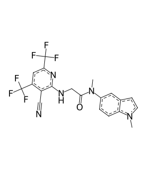 CN(C(=O)CNc1nc(C(F)(F)F)cc(C(F)(F)F)c1C#N)c1ccc2c(ccn2C)c1